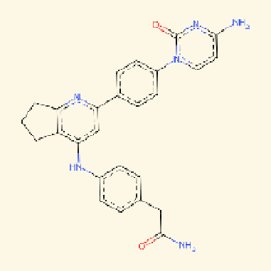 NC(=O)Cc1ccc(Nc2cc(-c3ccc(-n4ccc(N)nc4=O)cc3)nc3c2CCC3)cc1